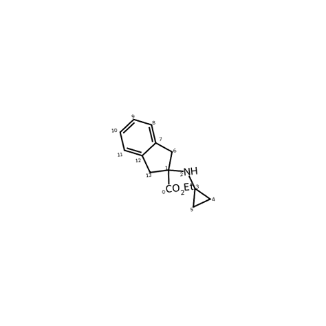 CCOC(=O)C1(NC2CC2)Cc2ccccc2C1